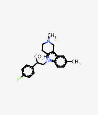 Cc1ccc2c(c1)c1c(n2CC(C(=O)O)c2ccc(F)cc2)CCN(C)C1